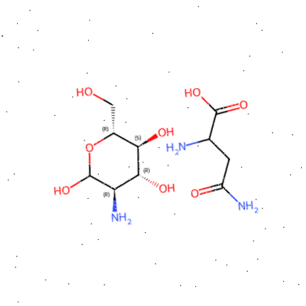 NC(=O)CC(N)C(=O)O.N[C@H]1C(O)O[C@H](CO)[C@@H](O)[C@@H]1O